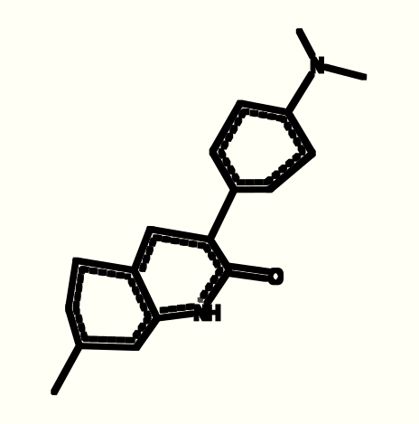 Cc1ccc2cc(-c3ccc(N(C)C)cc3)c(=O)[nH]c2c1